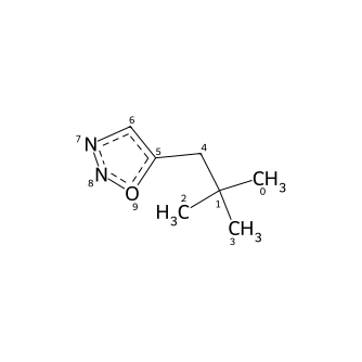 CC(C)(C)Cc1cnno1